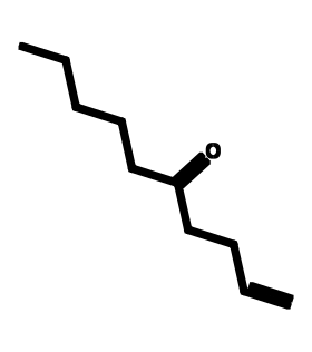 C=CCCC(=O)CCCCC